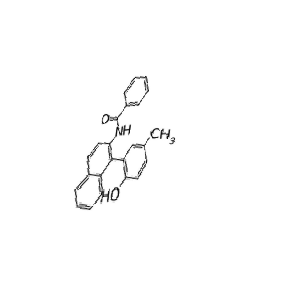 Cc1ccc(O)c(-c2c(NC(=O)c3ccccc3)ccc3ccccc23)c1